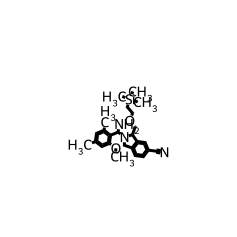 COc1cc(C)cc(C)c1C(N)N1Cc2ccc(C#N)cc2C1COCC[Si](C)(C)C